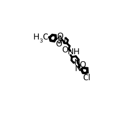 Cc1ccc(S(=O)(=O)N2CCC(CC(=O)NCC3CCN(c4nc5cc(Cl)ccc5o4)CC3)C2)cc1